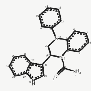 NC(=O)N1c2ccccc2N(c2ccccc2)CC1c1c[nH]c2ccccc12